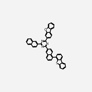 c1ccc2cc(-c3nc(-c4ccc5c(-c6cccc7c6sc6ccccc67)cccc5c4)nc(-c4ccc5c(c4)oc4ccccc45)n3)ccc2c1